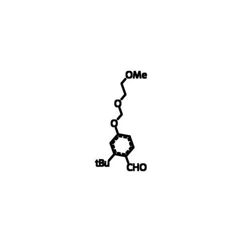 COCCOCOc1ccc(C=O)c(C(C)(C)C)c1